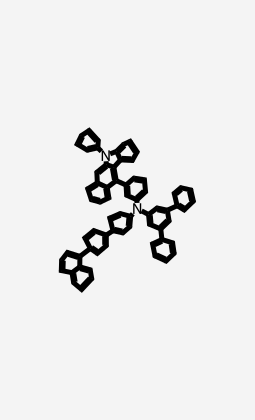 c1ccc(-c2cc(-c3ccccc3)cc(N(c3ccc(-c4ccc(-c5cccc6ccccc56)cc4)cc3)c3cccc(-c4c5ccccc5cc5c4c4ccccc4n5-c4ccccc4)c3)c2)cc1